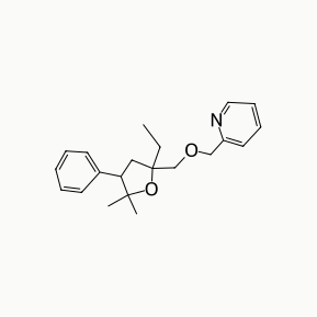 CCC1(COCc2ccccn2)CC(c2ccccc2)C(C)(C)O1